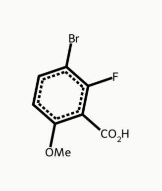 COc1ccc(Br)c(F)c1C(=O)O